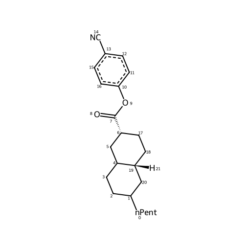 CCCCCC1CCC2C[C@H](C(=O)Oc3ccc(C#N)cc3)CC[C@@H]2C1